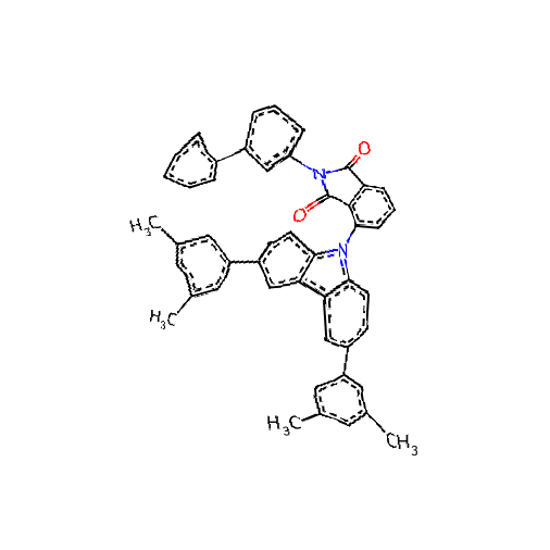 Cc1cc(C)cc(-c2ccc3c(c2)c2cc(-c4cc(C)cc(C)c4)ccc2n3-c2cccc3c2C(=O)N(c2cccc(-c4ccccc4)c2)C3=O)c1